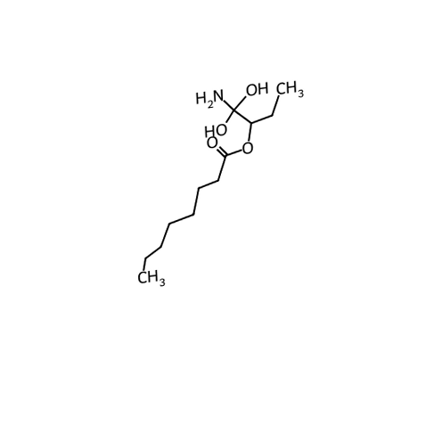 CCCCCCCC(=O)OC(CC)C(N)(O)O